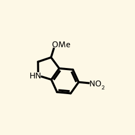 COC1CNc2ccc([N+](=O)[O-])cc21